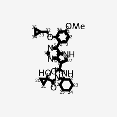 COc1ccc(-c2ncnc3c(C(=O)NC4(NC(=O)C5(O)CC5)CCCCC4)c[nH]c23)c(OCC2CC2)c1